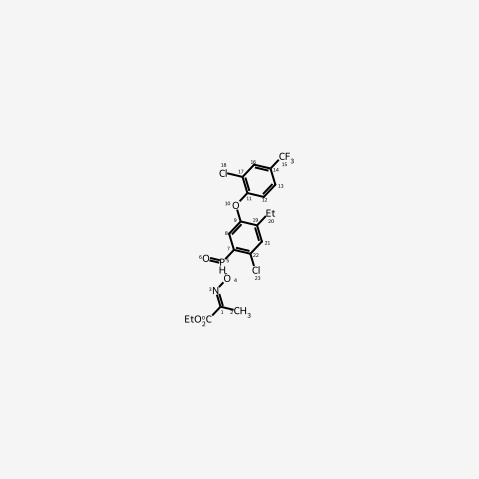 CCOC(=O)C(C)=NO[PH](=O)c1cc(Oc2ccc(C(F)(F)F)cc2Cl)c(CC)cc1Cl